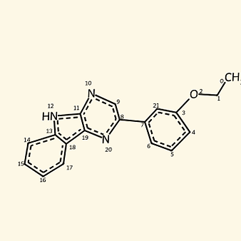 CCOc1cccc(-c2cnc3[nH]c4ccccc4c3n2)c1